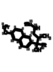 CCCOc1ccc2cc(C(O)(CC)C(C)CNC(C)(C)C)ccc2c1